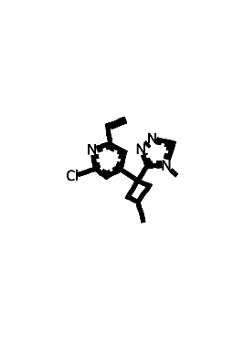 C=Cc1cc(C2(c3nncn3C)CC(C)C2)cc(Cl)n1